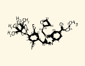 COC(=O)c1ccc2nc(Cc3cc(F)c(B4OC(C)(C)C(C)(C)O4)cc3F)n(C[C@@H]3CCO3)c2c1